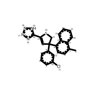 Cc1ccc(C2(c3cccc(Cl)c3)C=C(c3nnn[nH]3)SC2)c2ccccc12